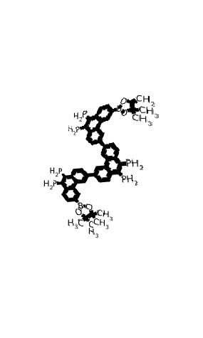 C=C1OB(c2ccc3c(P)c(P)c4ccc(-c5ccc6c(P)c(P)c7ccc(-c8ccc9c(P)c(P)c%10ccc(B%11OC(C)(C)C(C)(C)O%11)cc%10c9c8)cc7c6c5)cc4c3c2)OC1(C)C